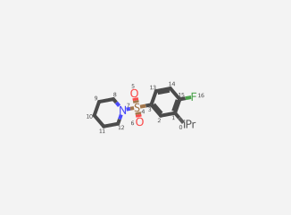 CC(C)c1cc(S(=O)(=O)N2CCCCC2)ccc1F